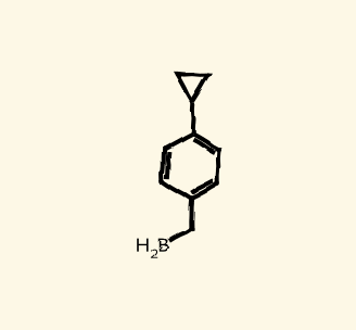 BCc1ccc(C2CC2)cc1